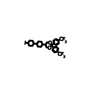 FC(F)(F)c1ccc(C2(c3ccc(C(F)(F)F)cc3)OCC(C3CCC(C4CCC(I)CC4)CC3)CO2)cc1